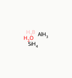 B.O.[AlH3].[SiH4]